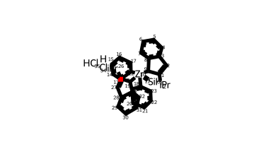 CC(C)C1=Cc2ccccc2[CH]1[Zr](=[SiH2])([c]1ccccc1)([c]1ccccc1)[CH]1C(C(C)C)=Cc2ccccc21.Cl.Cl